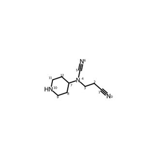 N#CCCN(C#N)C1CCNCC1